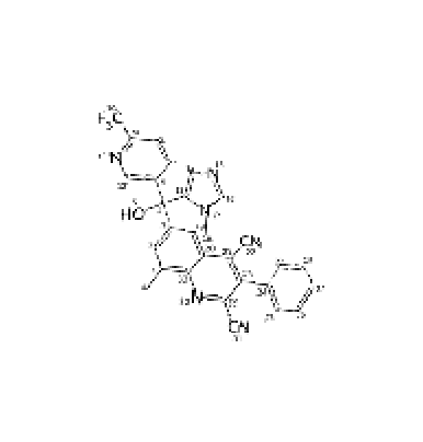 Cc1cc(C(O)(c2ccc(C(F)(F)F)nc2)c2cncn2C)cc2c(C#N)c(-c3ccccc3)c(C#N)nc12